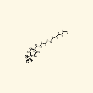 CCCCCCCCCCCCc1ccc(S(=O)(=O)F)cc1